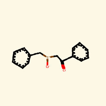 O=C(C[S+]([O-])Cc1ccccc1)c1ccccc1